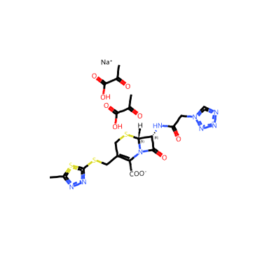 CC(=O)C(=O)O.CC(=O)C(=O)O.Cc1nnc(SCC2=C(C(=O)[O-])N3C(=O)[C@@H](NC(=O)Cn4cnnn4)[C@H]3SC2)s1.[Na+]